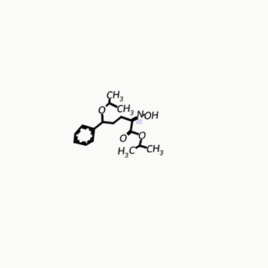 CC(C)OC(=O)/C(CCC(OC(C)C)c1ccccc1)=N\O